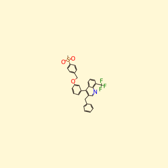 CS(=O)(=O)c1ccc(COc2cccc(-c3c(Cc4ccccc4)cnc4c(C(F)(F)F)cccc34)c2)cc1